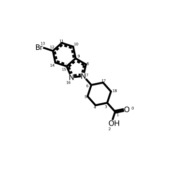 O=C(O)C1CCC(n2cc3ccc(Br)cc3n2)CC1